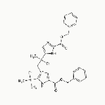 CCC(C)(C)c1[nH]c(C(=O)OCc2ccccc2)c[n+]1CC(C)(CC)c1cnc(C(=O)OCc2ccccc2)[nH]1